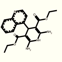 CCOC(=O)C1=C(N)NC(N)=C(C(=O)OCC)C1c1ccnc2ccccc12